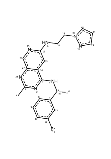 Cc1nc(N[C@H](C)c2cccc(Br)c2)c2cc(NCCn3cccn3)ncc2n1